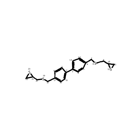 c1cc(-c2ccc(CSCC3CS3)cc2)ccc1CSCC1CS1